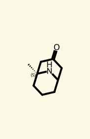 C[C@]12CCCC(CC(=O)C1)N2